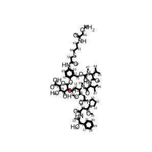 CC[C@H](C)C([C@@H](CC(=O)N1CCC[C@H]1[C@H](OC)[C@@H](C)C(=O)N[C@H](C)[C@@H](O)c1ccccc1)OC)N(C)C(=O)[C@@H](NC(=O)C(C(C)C)N(C)C(=O)OCc1cc(NC(=O)CSCCCNC(=O)CON)ccc1OC1OC(C(=O)O)C(O)C(O)C1O)C(C)C